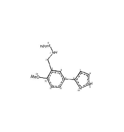 CCCCCNCc1cc(-c2cc[nH]n2)ccc1OC